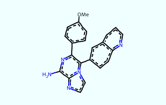 COc1ccc(-c2nc(N)c3nccn3c2-c2ccc3ncccc3c2)cc1